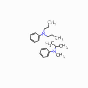 CC(C)N(C)c1ccccc1.CCCN(CCC)c1ccccc1